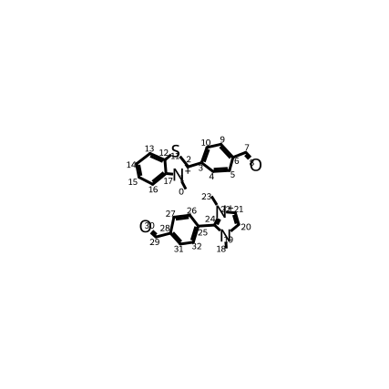 C[n+]1c(-c2ccc(C=O)cc2)sc2ccccc21.Cn1cc[n+](C)c1-c1ccc(C=O)cc1